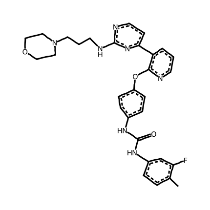 Cc1ccc(NC(=O)Nc2ccc(Oc3ncccc3-c3ccnc(NCCCN4CCOCC4)n3)cc2)cc1F